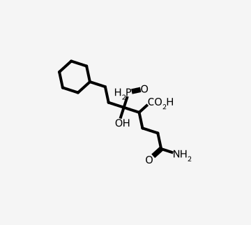 NC(=O)CCC(C(=O)O)C(O)(CCC1CCCCC1)[PH2]=O